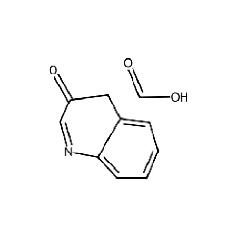 O=C1C=Nc2ccccc2C1.O=CO